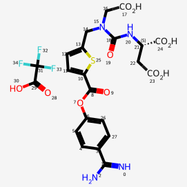 N=C(N)c1ccc(OC(=O)c2ccc(CN(CC(=O)O)C(=O)N[C@@H](CC(=O)O)C(=O)O)s2)cc1.O=C(O)C(F)(F)F